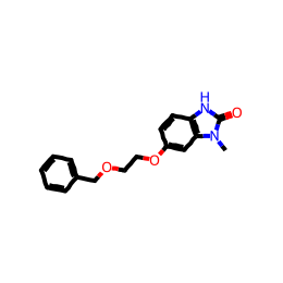 Cn1c(=O)[nH]c2ccc(OCCOCc3ccccc3)cc21